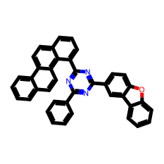 c1ccc(-c2nc(-c3ccc4oc5ccccc5c4c3)nc(-c3cccc4ccc5c6ccccc6ccc5c34)n2)cc1